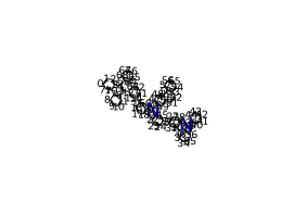 c1ccc(-c2c(-c3ccccc3)c3cc(-c4cccc(N(c5cccc(-c6ccc7c(c6)c6ccccc6n7-c6ccccc6)c5)c5ccc6c(ccc7ccccc76)c5)c4)ccc3c3ccccc23)cc1